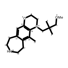 COCC(C)(C)CN1CCOc2cc3c(c(C)c21)CCNCC3